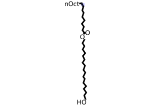 CCCCCCCC/C=C\CCCCCCCC(=O)OCCCCCCCCCCCCCCCCCCCO